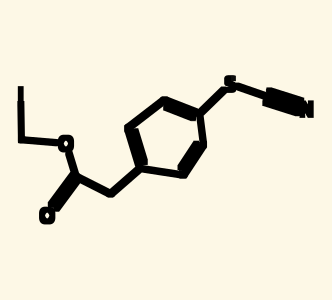 N#CSc1ccc(CC(=O)OCI)cc1